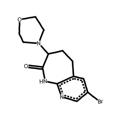 O=C1Nc2ncc(Br)cc2CCC1N1CCOCC1